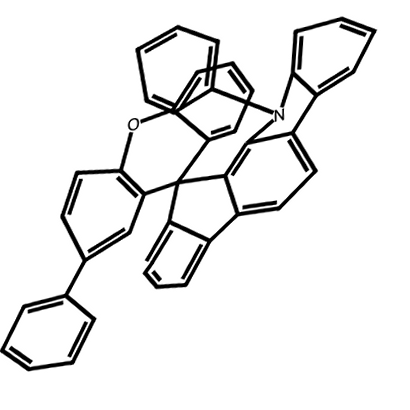 c1ccc(-c2ccc3c(c2)C2(c4ccccc4O3)c3ccccc3-c3ccc4c5ccccc5n(-c5ccccc5)c4c32)cc1